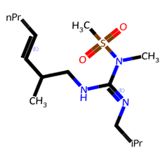 CCC/C=C/C(C)CN/C(=N\CC(C)C)N(C)S(C)(=O)=O